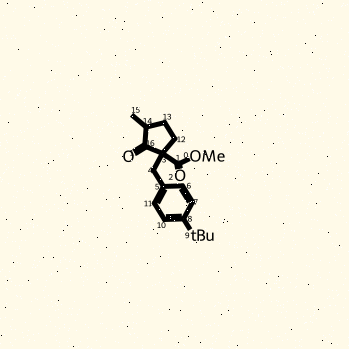 COC(=O)C1(Cc2ccc(C(C)(C)C)cc2)CCC(C)C1=O